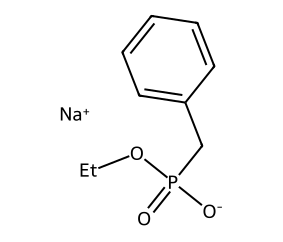 CCOP(=O)([O-])Cc1ccccc1.[Na+]